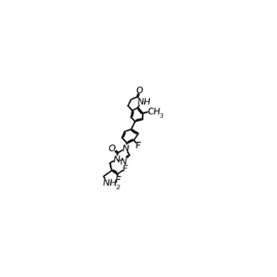 Cc1cc(-c2ccc(-n3cnn(CC(CN)=C(F)F)c3=O)c(F)c2)cc2c1NC(=O)CC2